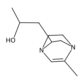 CC1=CN2CCN1CC2CC(C)O